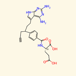 C#CCC(CCc1c[nH]c2nc(N)nc(N)c12)c1ccc(C(=O)N[C@@H](CCC(=O)O)C(=O)O)cc1